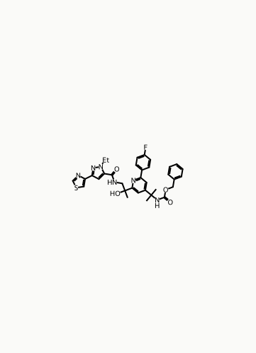 CCn1nc(-c2cscn2)cc1C(=O)NCC(C)(O)c1cc(C(C)(C)NC(=O)OCc2ccccc2)cc(-c2ccc(F)cc2)n1